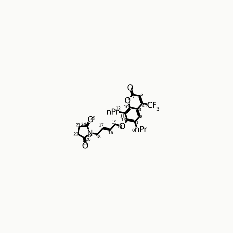 CCCc1cc2c(C(F)(F)F)cc(=O)oc2c(CCC)c1OCC=CCN1C(=O)CCC1=O